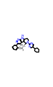 Cc1ccccc1-c1cc2c3c([nH]c2nn1)CCN(c1ncc(C2CCCCC2)cn1)C3C